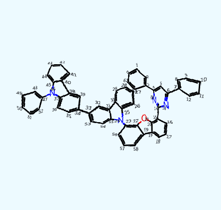 c1ccc(-c2cc(-c3ccccc3)nc(-c3cccc4c3oc3c(-n5c6ccccc6c6cc(-c7ccc8c(c7)c7ccccc7n8-c7ccccc7)ccc65)cccc34)n2)cc1